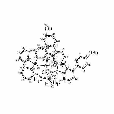 CC1=Cc2c(-c3ccc(C(C)(C)C)cc3)ccc(C)c2[CH]1[Zr]([Cl])([Cl])([CH]1C(CC(c2ccccc2)(c2ccccc2)c2ccccc2)=Cc2c(-c3ccc(C(C)(C)C)cc3)cccc21)[SiH](C)C